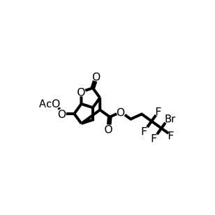 CC(=O)OOC1C2CC3C1OC(=O)C3C2C(=O)OCCC(F)(F)C(F)(F)Br